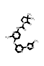 Cc1cn(-c2cc(Oc3ccc(NC(=O)N4CCC(C)(C)C4=O)nc3C)ccn2)cn1